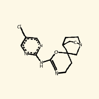 Clc1cnc(NC2=NCCC3(CN4CCC3CC4)O2)nc1